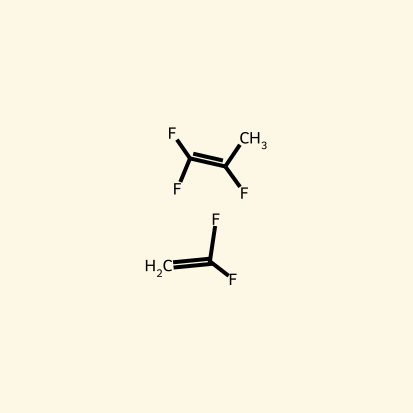 C=C(F)F.CC(F)=C(F)F